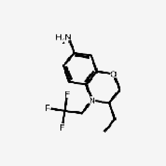 CCC1COc2cc(N)ccc2N1CC(F)(F)F